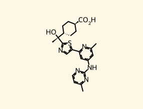 Cc1cc(Nc2nccc(C)n2)cc(-c2cnc([C@](C)(O)[C@H]3CC[C@H](C(=O)O)CC3)s2)n1